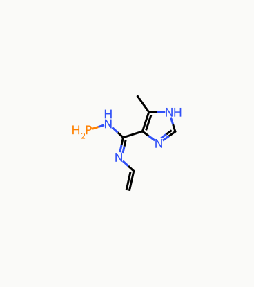 C=C/N=C(/NP)c1nc[nH]c1C